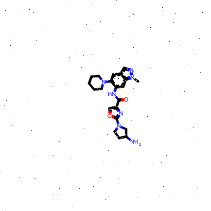 Cn1ncc2cc(N3CCCCC3)c(NC(=O)c3coc(N4CCC(N)C4)n3)cc21